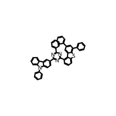 c1ccc(-c2cc(-c3ccccc3)c3sc4cccc(-c5nc(-c6ccccc6)nc(-c6ccc7c(c6)c6ccccc6n7-c6ccccc6)n5)c4c3c2)cc1